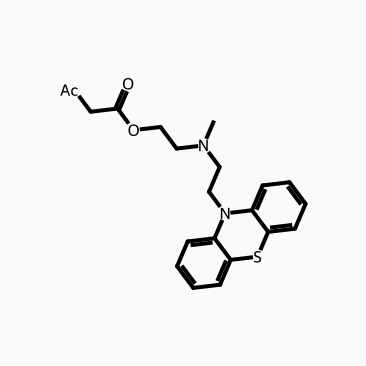 CC(=O)CC(=O)OCCN(C)CCN1c2ccccc2Sc2ccccc21